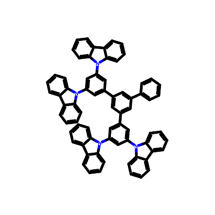 c1ccc(-c2cc(-c3cc(-n4c5ccccc5c5ccccc54)cc(-n4c5ccccc5c5ccccc54)c3)cc(-c3cc(-n4c5ccccc5c5ccccc54)cc(-n4c5ccccc5c5ccccc54)c3)c2)cc1